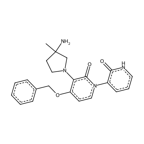 CC1(N)CCN(c2c(OCc3ccccc3)ccn(-c3ccc[nH]c3=O)c2=O)C1